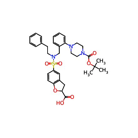 CC(C)(C)OC(=O)N1CCN(c2ccccc2CN(CCc2ccccc2)S(=O)(=O)c2ccc3c(c2)CC(C(=O)O)O3)CC1